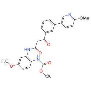 COc1ccc(-c2cccc(C(=O)CC(=O)Nc3cc(OC(F)(F)F)ccc3NC(=O)OC(C)(C)C)c2)cn1